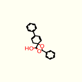 O=C(O)C1(OCc2ccccc2)C=CC(c2ccccc2)=CC1